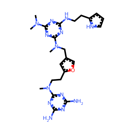 CN(C)c1nc(NCCc2ccc[nH]2)nc(N(C)Cc2coc(CCN(C)c3nc(N)nc(N)n3)c2)n1